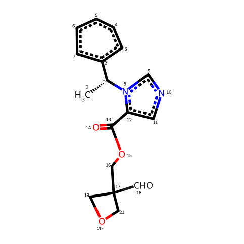 C[C@H](c1ccccc1)n1cncc1C(=O)OCC1(C=O)COC1